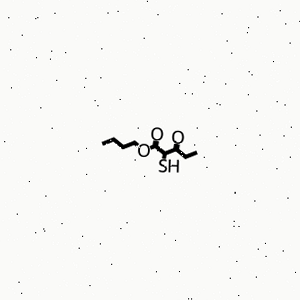 CCCCOC(=O)C(S)C(=O)CC